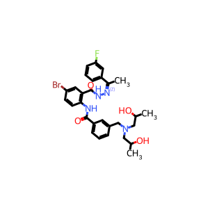 C/C(=N/NC(=O)c1cc(Br)ccc1NC(=O)c1cccc(CN(CC(C)O)CC(C)O)c1)c1cccc(F)c1